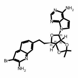 CC1(C)O[C@@H]2[C@H](O1)[C@@H](CCc1ccc3cc(Br)c(N)nc3c1)O[C@H]2n1ccc2c(N)ncnc21